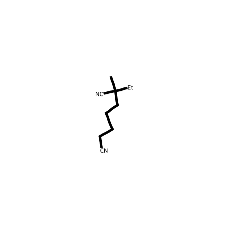 CCC(C)(C#N)CCCCC#N